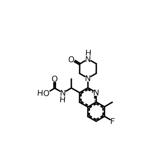 Cc1c(F)ccc2cc(C(C)NC(=O)O)c(N3CCNC(=O)C3)nc12